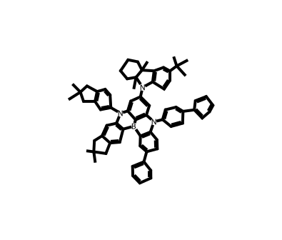 CC1(C)Cc2ccc(N3c4cc5c(cc4B4c6cc(-c7ccccc7)ccc6N(c6ccc(-c7ccccc7)cc6)c6cc(N7c8ccc(C(C)(C)C)cc8C8(C)CCCCC78C)cc3c64)CC(C)(C)C5)cc2C1